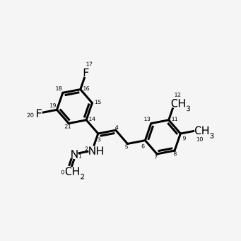 C=NN/C(=C\Cc1ccc(C)c(C)c1)c1cc(F)cc(F)c1